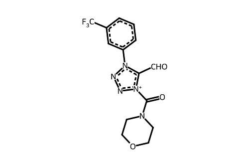 O=Cc1n(-c2cccc(C(F)(F)F)c2)nn[n+]1C(=O)N1CCOCC1